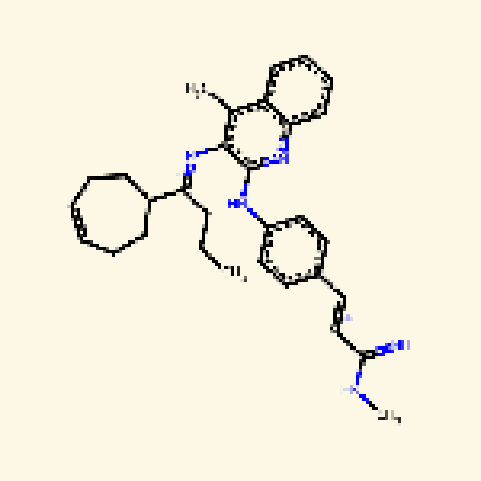 CCC/C(=N\c1c(Nc2ccc(/C=C/C(=N)NC)cc2)nc2ccccc2c1C)C1CCC=CCC1